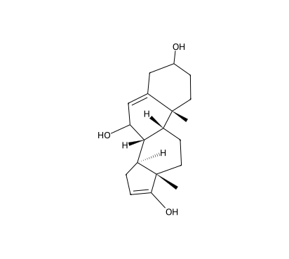 C[C@]12CCC(O)CC1=CC(O)[C@@H]1[C@H]2CC[C@]2(C)C(O)=CC[C@@H]12